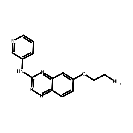 NCCOc1ccc2nnc(Nc3cccnc3)nc2c1